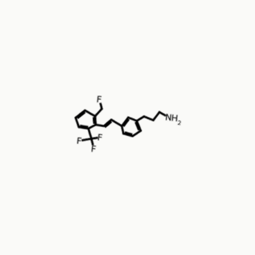 NCCCc1cccc(/C=C/c2c(CF)cccc2C(F)(F)F)c1